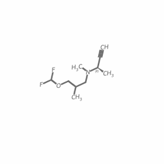 C#C[C@@H](C)N(C)CC(C)COC(F)F